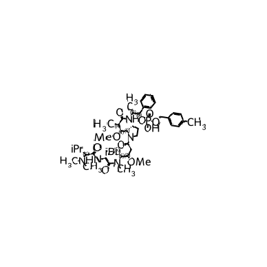 CC[C@H](C)[C@@H]([C@@H](CC(=O)N1CCC[C@H]1[C@H](OC)[C@@H](C)C(=O)N[C@H](C)[C@@H](OP(=O)(O)OCc1ccc(C)cc1)c1ccccc1)OC)N(C)C(=O)CNC(=O)[C@H](C(C)C)N(C)C